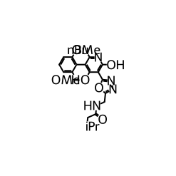 CCCCc1nc(O)c(-c2nnc(CNC(=O)CC(C)C)o2)c(O)c1-c1c(OC)cccc1OC